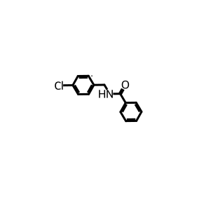 O=C(NCc1[c]cc(Cl)cc1)c1ccccc1